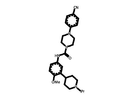 COc1ccc(NC(=O)N2CCN(c3ccc(C#N)cc3)CC2)cc1C1CCN(C(C)C)CC1